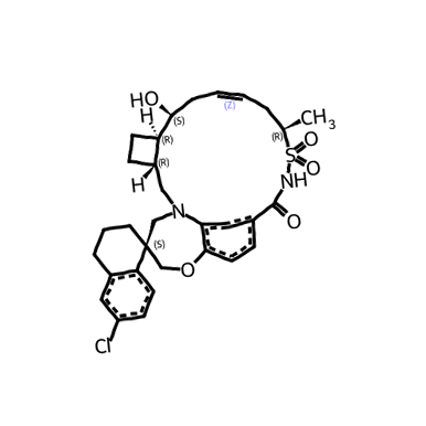 C[C@@H]1C/C=C\C[C@H](O)[C@@H]2CC[C@H]2CN2C[C@@]3(CCCc4cc(Cl)ccc43)COc3ccc(cc32)C(=O)NS1(=O)=O